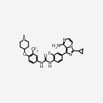 CN1CCC(Oc2ccc(NC(=O)Nc3ccc(-c4nc(C5CC5)n5ccnc(N)c45)cc3F)cc2C(F)(F)F)CC1